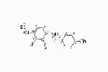 CCC[C@H]1CC[C@H](C[SiH2]c2ccc(OCC)c(F)c2F)CC1